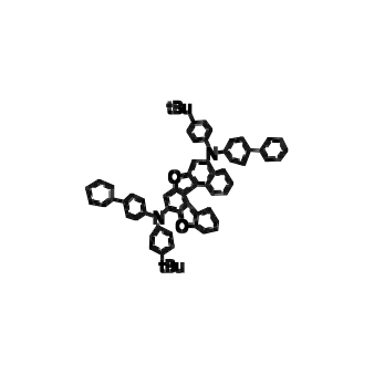 CC(C)(C)c1ccc(N(c2ccc(-c3ccccc3)cc2)c2cc3oc4cc(N(c5ccc(-c6ccccc6)cc5)c5ccc(C(C)(C)C)cc5)c5oc6ccccc6c5c4c3c3ccccc23)cc1